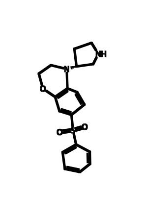 O=S(=O)(c1ccccc1)c1ccc2c(c1)OCCN2[C@@H]1CCNC1